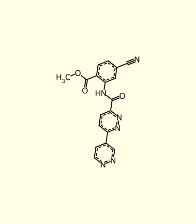 COC(=O)c1ccc(C#N)cc1NC(=O)c1ccc(-c2ccnnc2)nn1